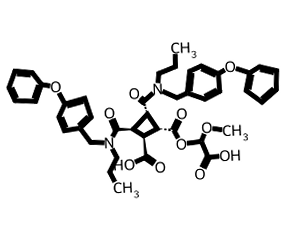 CCCN(Cc1ccc(Oc2ccccc2)cc1)C(=O)[C@@H]1[C@H](C(=O)O)[C@@H](C(=O)OC(OC)C(=O)O)[C@H]1C(=O)N(CCC)Cc1ccc(Oc2ccccc2)cc1